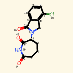 O=C1CCC[C@H](N2Cc3c(Cl)cccc3C2=O)C(=O)N1